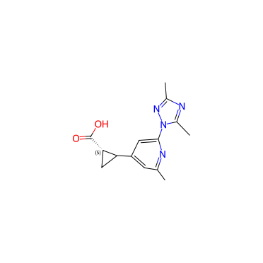 Cc1cc(C2C[C@@H]2C(=O)O)cc(-n2nc(C)nc2C)n1